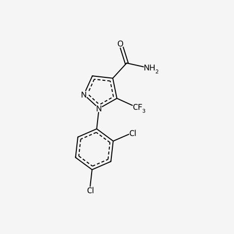 NC(=O)c1cnn(-c2ccc(Cl)cc2Cl)c1C(F)(F)F